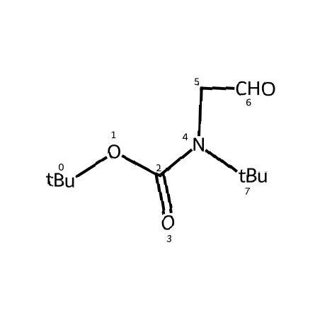 CC(C)(C)OC(=O)N(CC=O)C(C)(C)C